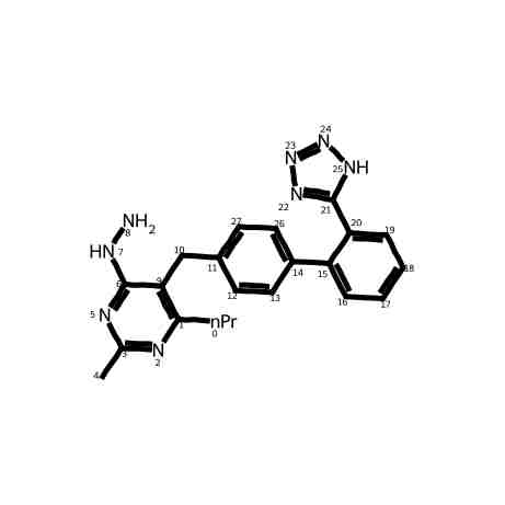 CCCc1nc(C)nc(NN)c1Cc1ccc(-c2ccccc2-c2nnn[nH]2)cc1